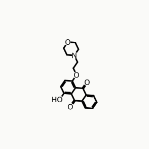 O=C1c2ccccc2C(=O)c2c(OCCN3CCOCC3)ccc(O)c21